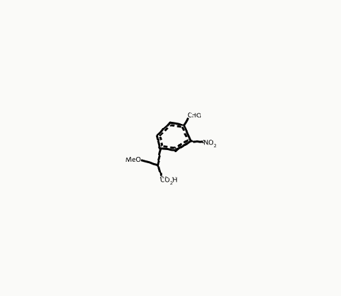 COC(C(=O)O)c1ccc(C=O)c([N+](=O)[O-])c1